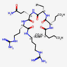 CC(=O)N[C@@H](CCC(=O)O)C(=O)N[C@@H](CCC(=O)O)C(=O)N[C@@H](CC(C)C)C(=O)N[C@@H](CCC(N)=O)C(=O)N[C@@H](CCCNC(=N)N)C(=O)N[C@@H](CCCNC(=N)N)C(=O)O